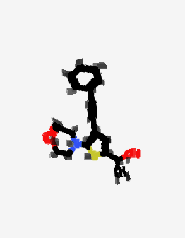 CC(O)c1cc(C#Cc2ccccc2)c(N2CCOCC2)s1